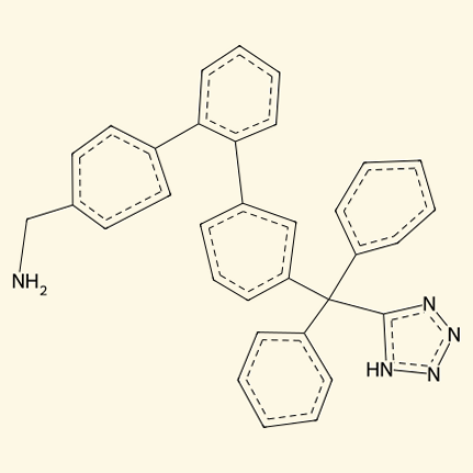 NCc1ccc(-c2ccccc2-c2cccc(C(c3ccccc3)(c3ccccc3)c3nnn[nH]3)c2)cc1